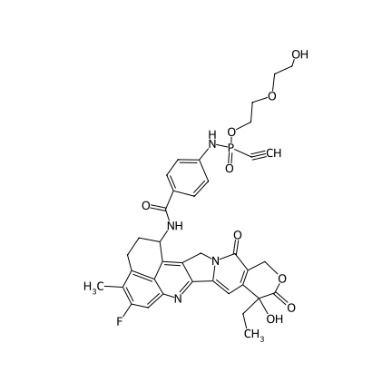 C#CP(=O)(Nc1ccc(C(=O)NC2CCc3c(C)c(F)cc4nc5c(c2c34)Cn2c-5cc3c(c2=O)COC(=O)C3(O)CC)cc1)OCCOCCO